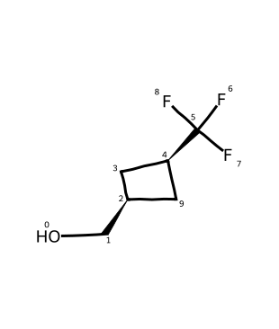 OC[C@H]1C[C@@H](C(F)(F)F)C1